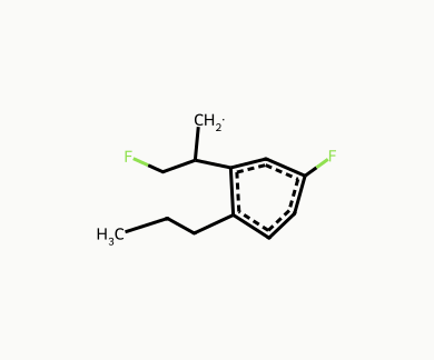 [CH2]C(CF)c1cc(F)ccc1CCC